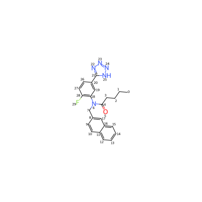 CCCCC(=O)N(Cc1ccc2ccccc2c1)c1cc(-c2nnn[nH]2)ccc1F